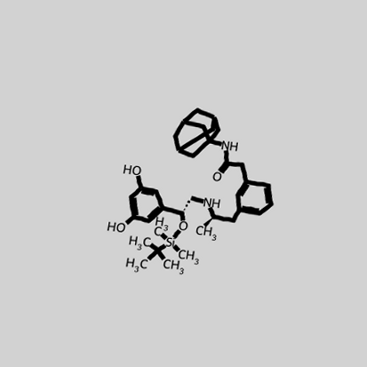 C[C@H](Cc1cccc(CC(=O)NC23CC4CC(CC(C4)C2)C3)c1)NC[C@H](O[Si](C)(C)C(C)(C)C)c1cc(O)cc(O)c1